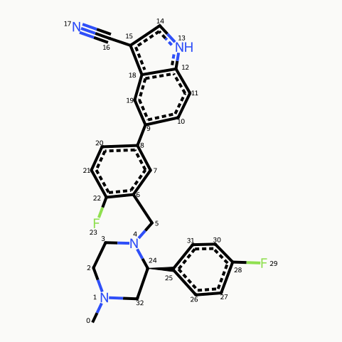 CN1CCN(Cc2cc(-c3ccc4[nH]cc(C#N)c4c3)ccc2F)[C@@H](c2ccc(F)cc2)C1